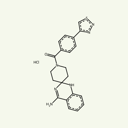 Cl.NC1=NC2(CCN(C(=O)c3ccc(-c4csnn4)cc3)CC2)Nc2ccccc21